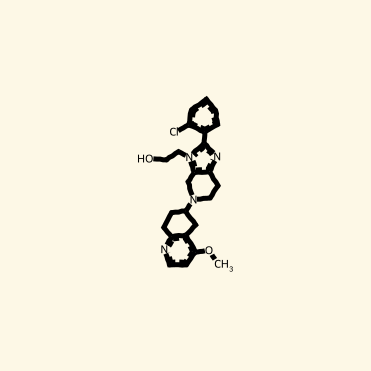 COc1ccnc2c1CC(N1CCc3nc(-c4ccccc4Cl)n(CCO)c3C1)CC2